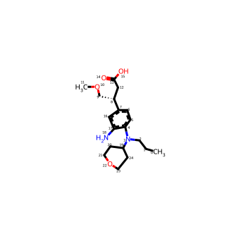 CCCN(c1ccc([C@H](COC)CC(=O)O)cc1N)C1CCOCC1